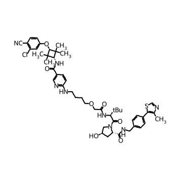 Cc1ncsc1-c1ccc(CNC(=O)[C@@H]2C[C@@H](O)CN2C(=O)[C@@H](NC(=O)COCCCCNc2ccc(C(=O)N[C@H]3C(C)(C)[C@H](Oc4ccc(C#N)c(Cl)c4)C3(C)C)cn2)C(C)(C)C)cc1